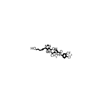 CC(NC(O)c1ncnc(C#CCCCO)c1Cl)c1ncc(C(=O)Nc2ccc(Cl)c(C(F)(F)F)c2)s1